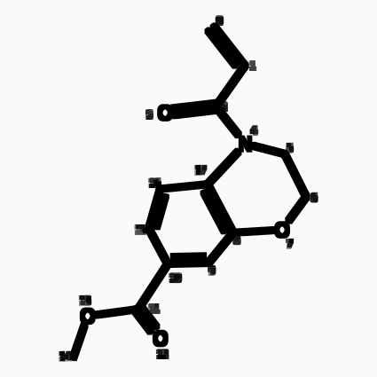 C=CC(=O)N1CCOc2cc(C(=O)OC)ccc21